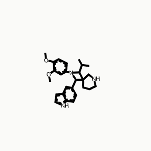 COc1ccc(N2C(c3ccc4[nH]ccc4c3)C3(CCCNC3)C2C(C)C)cc1OC